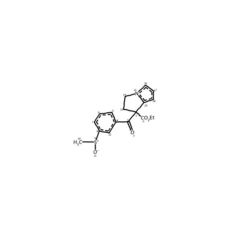 CCOC(=O)C1(C(=O)c2cccc([S+](C)[O-])c2)CCn2cccc21